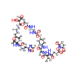 CC(/C=C/[C@H]1O[C@H](CC(=O)NCCNC(=O)OCc2ccc(NC(=O)[C@H](C)NC(=O)[C@@H](NC(=O)CCC(=O)ON3C(=O)CCC3=O)C(C)C)cc2)C[C@@]2(CO2)[C@@H]1O)=C\C[C@@H]1O[C@H](C)[C@H](NC(=O)/C=C\[C@H](C)c2noc(C)n2)C[C@@H]1C